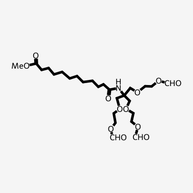 COC(=O)CCCCCCCCCCC(=O)NC(COCCOC=O)(COCCOC=O)COCCOC=O